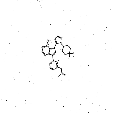 CN(C)Cc1cccc(-c2cc(-c3ccnn3C3CCC(F)(F)CC3)c3c(N)ncnn23)c1